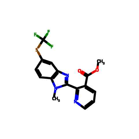 COC(=O)c1cccnc1-c1nc2cc(SC(F)(F)F)ccc2n1C